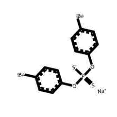 CCC(C)c1ccc(OP(=S)([S-])Oc2ccc(C(C)CC)cc2)cc1.[Na+]